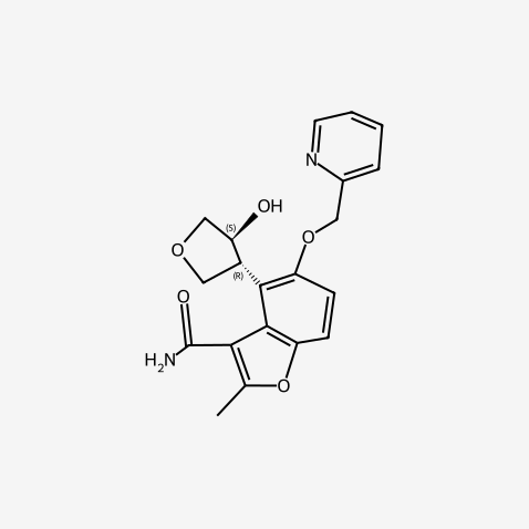 Cc1oc2ccc(OCc3ccccn3)c([C@@H]3COC[C@H]3O)c2c1C(N)=O